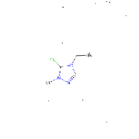 CCN1N=CN(CC(C)(C)C)C1Cl